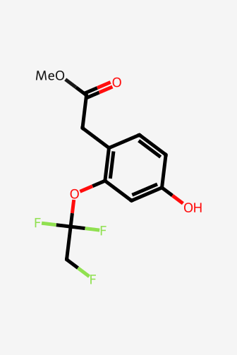 COC(=O)Cc1ccc(O)cc1OC(F)(F)CF